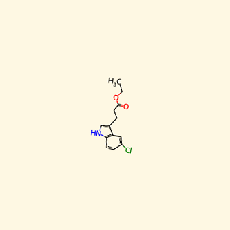 CCOC(=O)CCc1c[nH]c2ccc(Cl)cc12